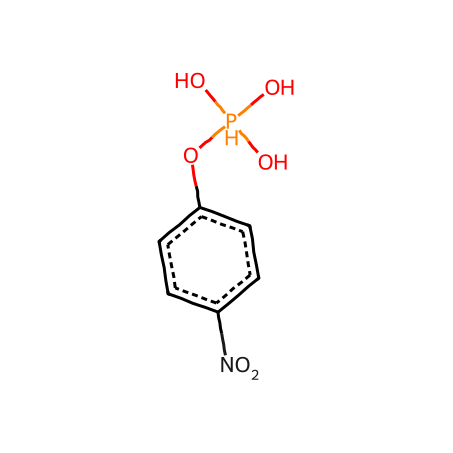 O=[N+]([O-])c1ccc(O[PH](O)(O)O)cc1